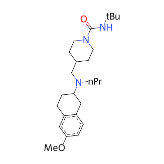 CCCN(CC1CCN(C(=O)NC(C)(C)C)CC1)C1CCc2cc(OC)ccc2C1